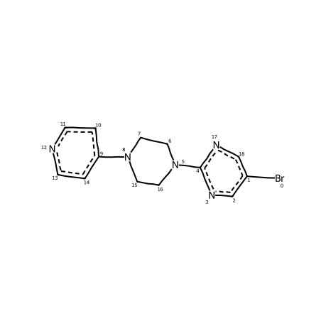 Brc1cnc(N2CCN(c3ccncc3)CC2)nc1